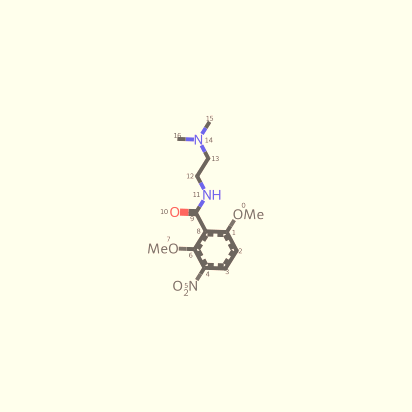 COc1ccc([N+](=O)[O-])c(OC)c1C(=O)NCCN(C)C